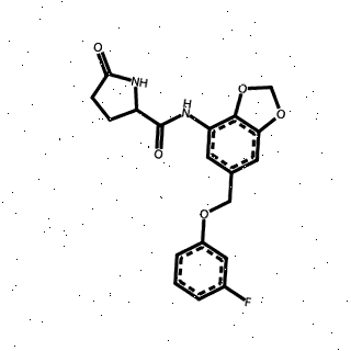 O=C1CCC(C(=O)Nc2cc(COc3cccc(F)c3)cc3c2OCO3)N1